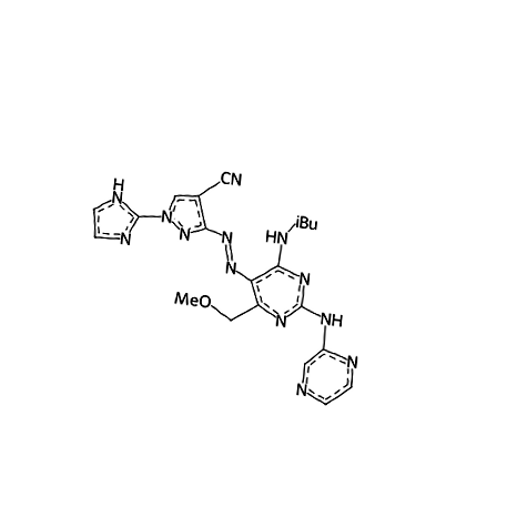 CCC(C)Nc1nc(Nc2cnccn2)nc(COC)c1N=Nc1nn(-c2ncc[nH]2)cc1C#N